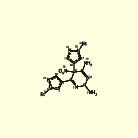 CCn1cc(C2=NC(N)N=C(N)C2(c2cnn(CC)c2)[N+](=O)[O-])cn1